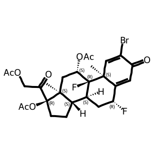 CC(=O)OCC(=O)[C@@]1(OC(C)=O)CC[C@H]2[C@@H]3C[C@@H](F)C4=CC(=O)C(Br)=C[C@]4(C)[C@@]3(F)[C@@H](OC(C)=O)C[C@@]21C